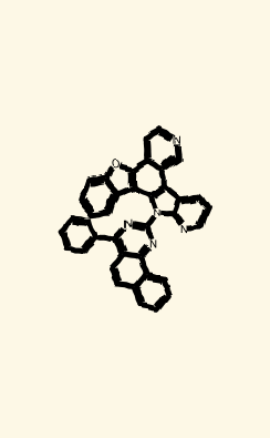 c1ccc(-c2nc(-n3c4ncccc4c4c5cnccc5c5oc6ccccc6c5c43)nc3c2ccc2ccccc23)cc1